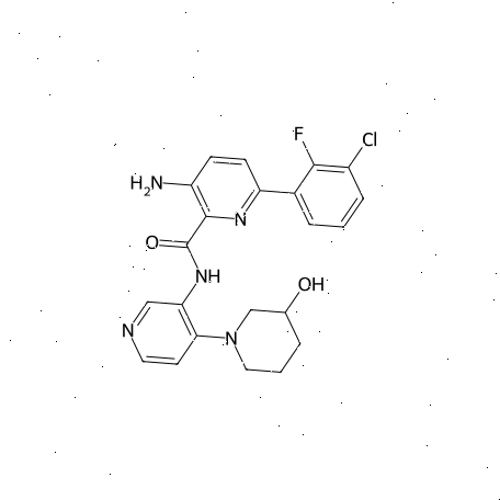 Nc1ccc(-c2cccc(Cl)c2F)nc1C(=O)Nc1cnccc1N1CCCC(O)C1